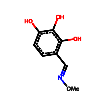 CON=Cc1ccc(O)c(O)c1O